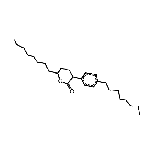 CCCCCCCCc1ccc(C2CCC(CCCCCCCC)OC2=O)cc1